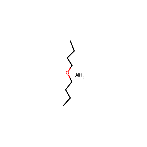 CCCCOCCCC.[AlH3]